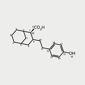 O=C(O)[C@@H]1C2CCCC(C2)CC1CCc1ccc(O)cc1